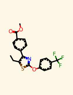 CCc1sc(Oc2ccc(C(F)(F)F)cc2)nc1-c1ccc(C(=O)OC)cc1